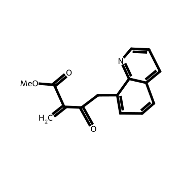 C=C(C(=O)Cc1cccc2cccnc12)C(=O)OC